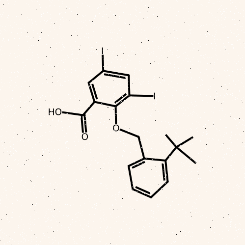 CC(C)(C)c1ccccc1COc1c(I)cc(I)cc1C(=O)O